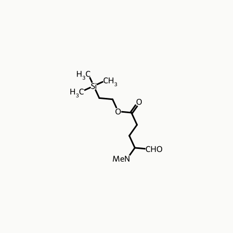 CNC(C=O)CCC(=O)OCC[Si](C)(C)C